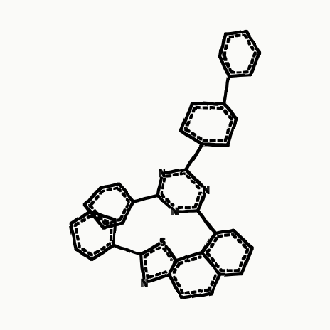 c1ccc(-c2ccc(-c3nc(-c4ccccc4)nc(-c4cccc5ccc6nc(-c7ccccc7)sc6c45)n3)cc2)cc1